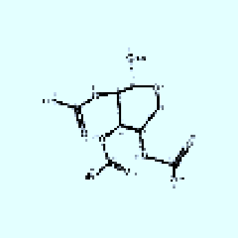 CCCC(=O)O[C@H]1[C@H](OC)OC[C@@H](OC(=O)CCC)[C@H]1OC(=O)CCC